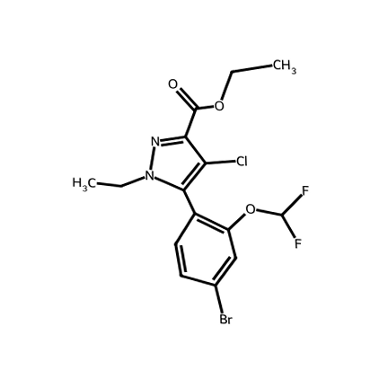 CCOC(=O)c1nn(CC)c(-c2ccc(Br)cc2OC(F)F)c1Cl